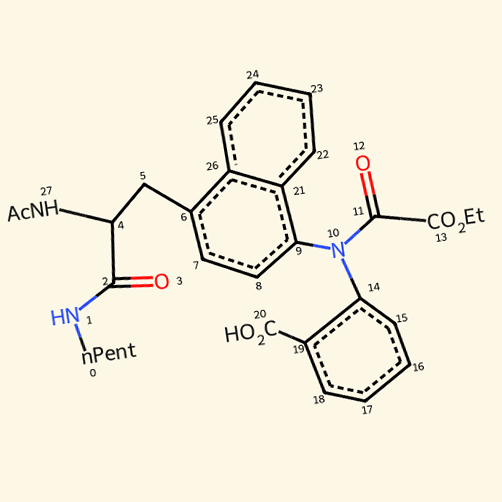 CCCCCNC(=O)C(Cc1ccc(N(C(=O)C(=O)OCC)c2ccccc2C(=O)O)c2ccccc12)NC(C)=O